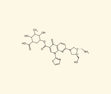 CC1C(O)C(OC(=O)c2cn(-c3nccs3)c3nc(N4C[C@H](CN)[C@@H](CO)C4)ccc3c2=O)CC(C(=O)O)C1O